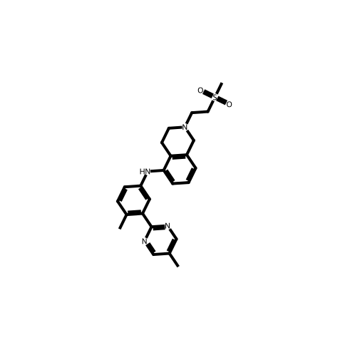 Cc1cnc(-c2cc(Nc3cccc4c3CCN(CCS(C)(=O)=O)C4)ccc2C)nc1